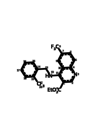 CCOC(=O)c1cnc2ccc(C(F)(F)F)cc2c1NCc1ccccc1C(F)(F)F